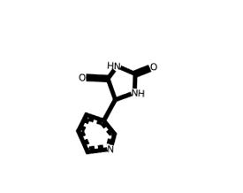 O=C1NC(=O)C(c2cccnc2)N1